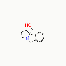 OCC12CCCN1Cc1ccccc12